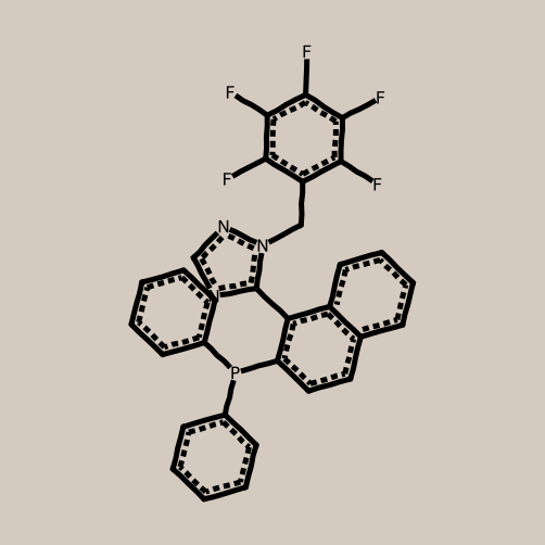 Fc1c(F)c(F)c(Cn2ncnc2-c2c(P(c3ccccc3)c3ccccc3)ccc3ccccc23)c(F)c1F